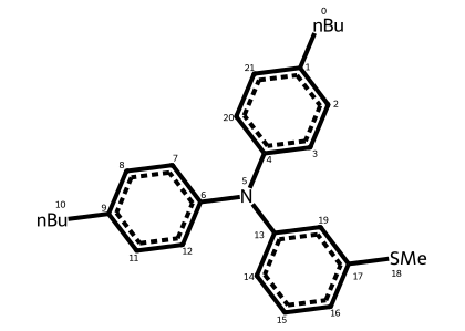 CCCCc1ccc(N(c2ccc(CCCC)cc2)c2cccc(SC)c2)cc1